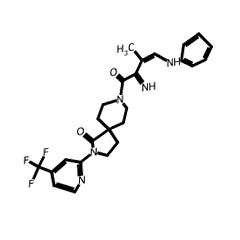 C/C(=C/Nc1ccccc1)C(=N)C(=O)N1CCC2(CC1)CCN(c1cc(C(F)(F)F)ccn1)C2=O